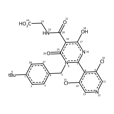 CC(C)(C)c1ccc(Cn2c(-c3c(Cl)cncc3Cl)nc(O)c(C(=O)NCC(=O)O)c2=O)cc1